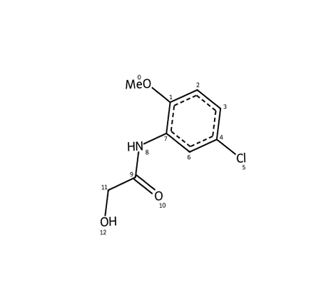 COc1ccc(Cl)cc1NC(=O)CO